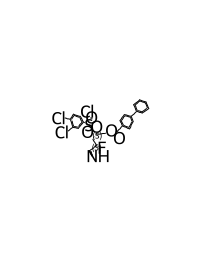 N=C[C@@H](F)C[C@@H](COC(=O)c1ccc(-c2ccccc2)cc1)OS(=O)(=O)c1cc(Cl)c(Cl)cc1Cl